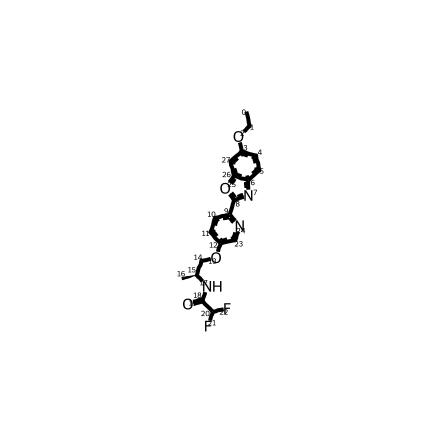 CCOc1ccc2nc(-c3ccc(OC[C@H](C)NC(=O)C(F)F)cn3)oc2c1